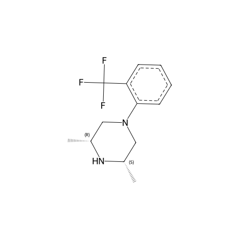 C[C@@H]1CN(c2ccccc2C(F)(F)F)C[C@H](C)N1